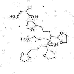 O=C(O)/C=C(/Cl)C(=O)O.O=C(O)CCCC(C(=O)O)(C(CCCC1OCCO1)C1OCCO1)C(CCCC1OCCO1)C1OCCO1